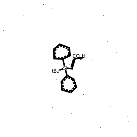 CC(=C[Si](c1ccccc1)(c1ccccc1)C(C)(C)C)C(=O)O